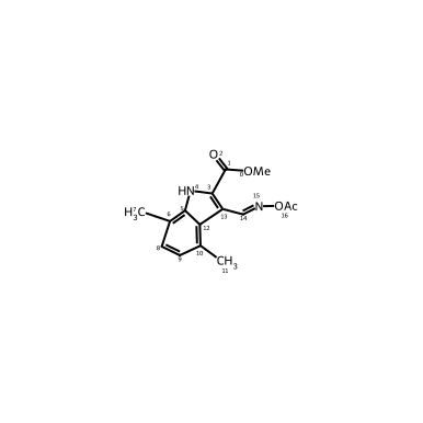 COC(=O)c1[nH]c2c(C)ccc(C)c2c1C=NOC(C)=O